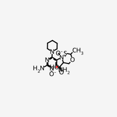 CC1OCC(C(=O)O)[N+]([O-])(c2c(N3CCCCC3)nc(N)[n+]([O-])c2N)S1